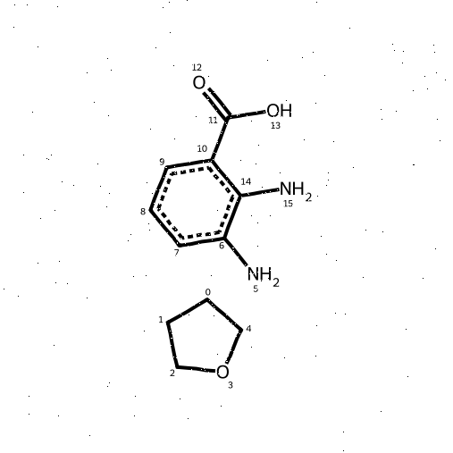 C1CCOC1.Nc1cccc(C(=O)O)c1N